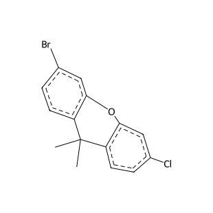 CC1(C)c2ccc(Cl)cc2Oc2cc(Br)ccc21